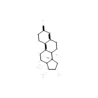 CC[C@H]1C[C@H]2[C@@H]3CCC4=CC(=O)CCC4=C3CC[C@]2(C)[C@H]1O